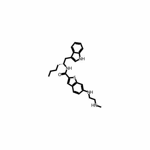 CCCC[C@H](Cc1c[nH]c2ccccc12)NC(=O)c1cc2ccc(NCCNC)cc2s1